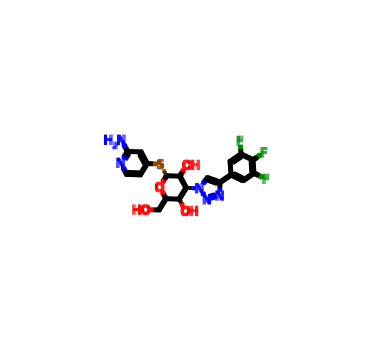 Nc1cc(S[C@H]2OC(CO)[C@H](O)[C@H](n3cc(-c4cc(F)c(F)c(F)c4)nn3)C2O)ccn1